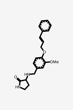 COc1cc(CNC2CCNC2=O)ccc1OCC=Cc1ccccc1